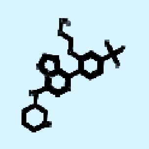 COCOc1cc(C(F)(F)F)ccc1-c1nnc(N[C@@H]2CCCNC2)n2nccc12